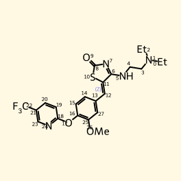 CCN(CC)CCNC1=NC(=O)S/C1=C\c1ccc(Oc2ccc(C(F)(F)F)cn2)c(OC)c1